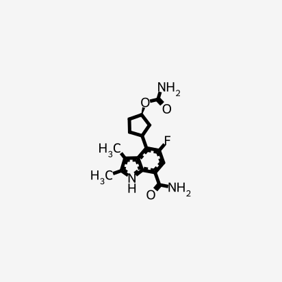 Cc1[nH]c2c(C(N)=O)cc(F)c(C3CC[C@@H](OC(N)=O)C3)c2c1C